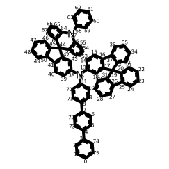 c1ccc(-c2ccc(-c3ccc(N(c4ccc5c(c4)C4(c6ccccc6-c6ccccc64)c4ccccc4-5)c4ccc5c(c4)C4(c6ccccc6-5)c5ccccc5N(c5ccccc5)c5ccccc54)cc3)cc2)cc1